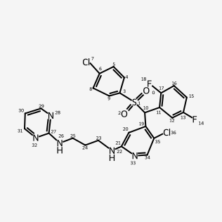 O=S(=O)(c1ccc(Cl)cc1)C(c1cc(F)ccc1F)c1cc(NCCCNc2ncccn2)ncc1Cl